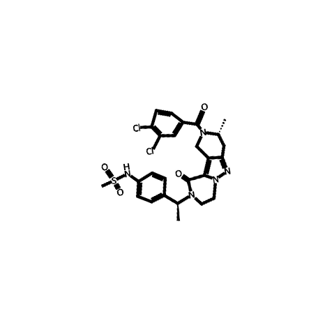 C[C@@H]1Cc2nn3c(c2CN1C(=O)c1ccc(Cl)c(Cl)c1)C(=O)N([C@@H](C)c1ccc(NS(C)(=O)=O)cc1)CC3